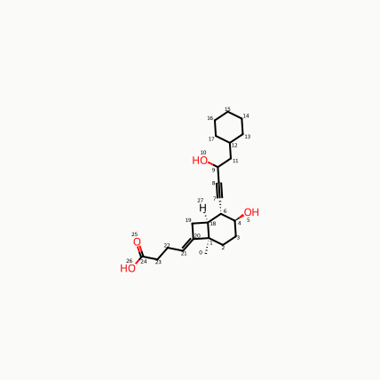 C[C@@]12CC[C@H](O)[C@@H](C#CC(O)CC3CCCCC3)[C@@H]1CC2=CCCC(=O)O